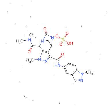 CN(C)C(=O)C1c2c(c(C(=O)Nc3ccc4c(cnn4C)c3)nn2C)C2CN1C(=O)N2OS(=O)(=O)O